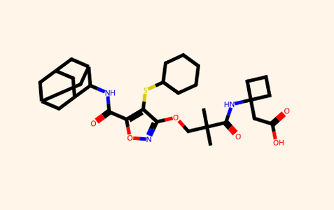 CC(C)(COc1noc(C(=O)NC2C3CC4CC(C3)CC2C4)c1SC1CCCCC1)C(=O)NC1(CC(=O)O)CCC1